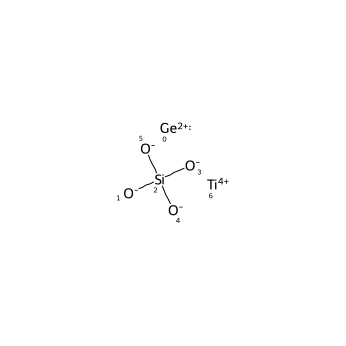 [Ge+2].[O-][Si]([O-])([O-])[O-].[Ti+4]